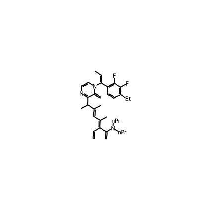 C=C/C(C(=C)N(CCC)CCC)=C(C)\C=C(/C)C(C)C1=NC=CN(/C(=C\C)c2ccc(CC)c(F)c2F)C1=C